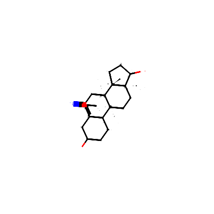 C[C@]12CC[C@@H]3[C@@H](CC=C4CC(O)CC[C@@]43CC#N)[C@@H]1CCC2O